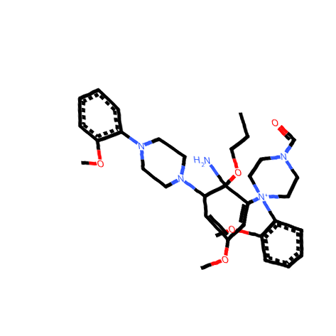 CCCOC1(N)C([N+]2(c3ccccc3OC)CCN(C=O)CC2)=CC(OC)=CC1N1CCN(c2ccccc2OC)CC1